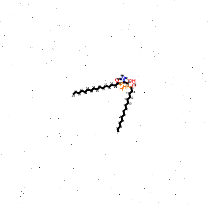 CCCCCCCCCCCCCCCC(=O)PC(O)C(PC(=O)CCCCCCCCCCCCCCC)[N+](C)(C)C